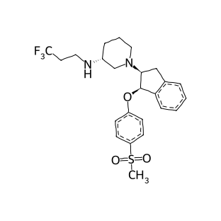 CS(=O)(=O)c1ccc(O[C@@H]2c3ccccc3C[C@@H]2N2CCC[C@@H](NCCC(F)(F)F)C2)cc1